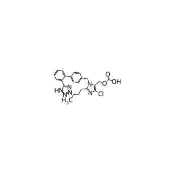 CCCCc1nc(Cl)c(COC(=O)O)n1Cc1ccc(-c2ccccc2-c2nnn[nH]2)cc1